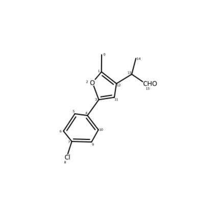 Cc1oc(-c2ccc(Cl)cc2)cc1C(C)C=O